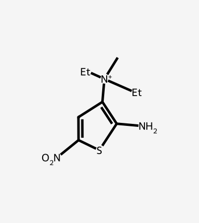 CC[N+](C)(CC)c1cc([N+](=O)[O-])sc1N